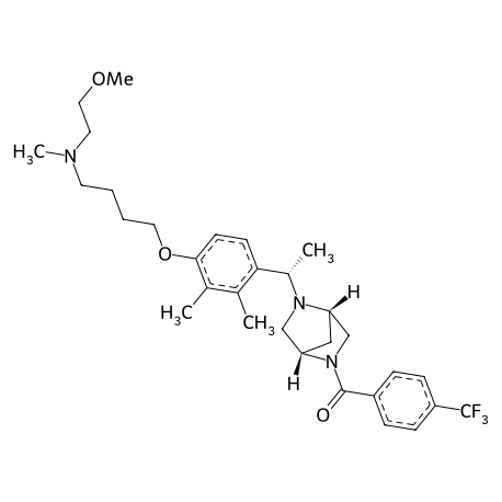 COCCN(C)CCCCOc1ccc([C@H](C)N2C[C@@H]3C[C@H]2CN3C(=O)c2ccc(C(F)(F)F)cc2)c(C)c1C